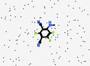 CNc1c(F)c(F)c(C#N)c(F)c1C#N